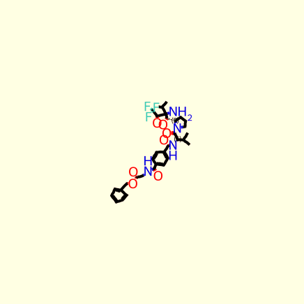 CC(C)[C@H](NC(=O)c1ccc(C(=O)NCC(=O)OCc2ccccc2)cc1)C(=O)N1CCC[C@H]1C(=O)C(N)(C(=O)C(F)(F)F)C(C)C